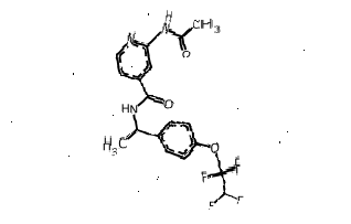 CC(=O)Nc1cc(C(=O)NC(C)c2ccc(OC(F)(F)C(F)F)cc2)ccn1